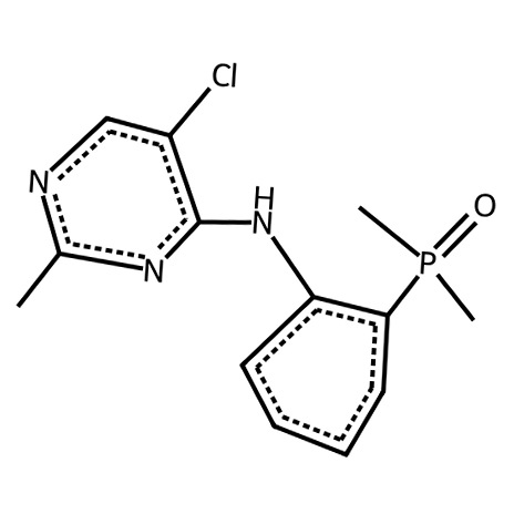 Cc1ncc(Cl)c(Nc2ccccc2P(C)(C)=O)n1